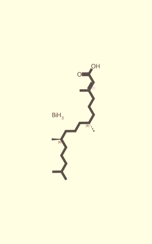 C/C(=C\C(=O)O)CCC[C@H](C)CCC[C@H](C)CCCC(C)C.[BiH3]